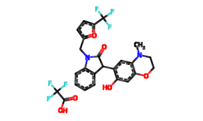 CN1CCOc2cc(O)c(C3C(=O)N(Cc4ccc(C(F)(F)F)o4)c4ccccc43)cc21.O=C(O)C(F)(F)F